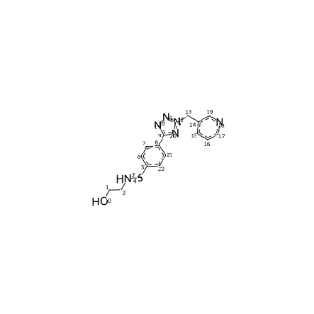 OCCNSc1ccc(-c2nnn(Cc3cccnc3)n2)cc1